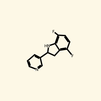 Fc1ccc(F)c2c1CC(c1cccnc1)N2